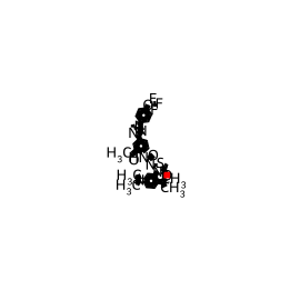 CC(=O)c1cc(-c2ncn(-c3ccc(OC(F)(F)F)cc3)n2)ccc1NC(=O)/N=C1\SCC(=O)N1c1cc(N(C)C)ccc1C(C)C